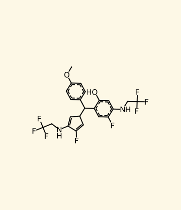 COc1ccc(C(c2cc(F)c(NCC(F)(F)F)cc2O)C2C=C(F)C(NCC(F)(F)F)=C2)cc1